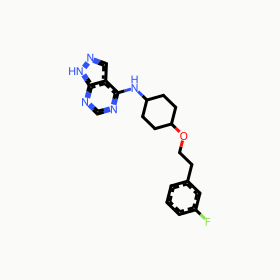 Fc1cccc(CCOC2CCC(Nc3ncnc4[nH]ncc34)CC2)c1